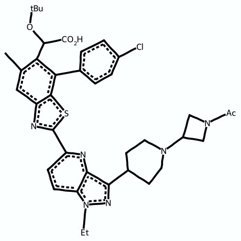 CCn1nc(C2CCN(C3CN(C(C)=O)C3)CC2)c2nc(-c3nc4cc(C)c(C(OC(C)(C)C)C(=O)O)c(-c5ccc(Cl)cc5)c4s3)ccc21